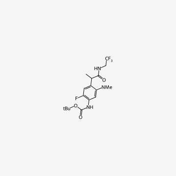 CNc1cc(NC(=O)OC(C)(C)C)c(F)cc1C(C)C(=O)NCC(F)(F)F